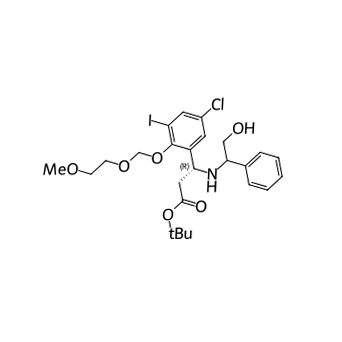 COCCOCOc1c(I)cc(Cl)cc1[C@@H](CC(=O)OC(C)(C)C)NC(CO)c1ccccc1